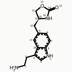 NCCc1c[nH]c2ccc(C[C@H]3COC(=O)N3)cc12